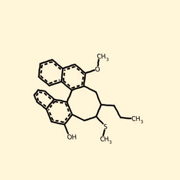 CCCC1Cc2c(OC)cc3ccccc3c2-c2c(c(O)cc3ccccc23)CC1SC